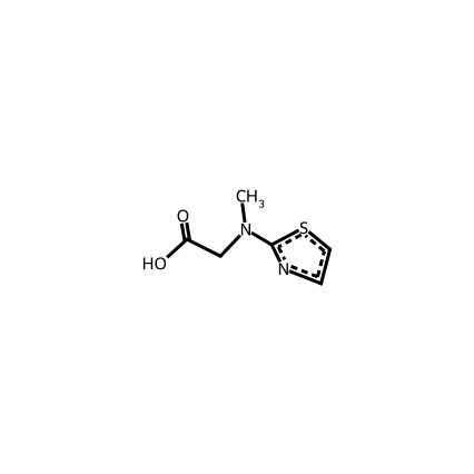 CN(CC(=O)O)c1nccs1